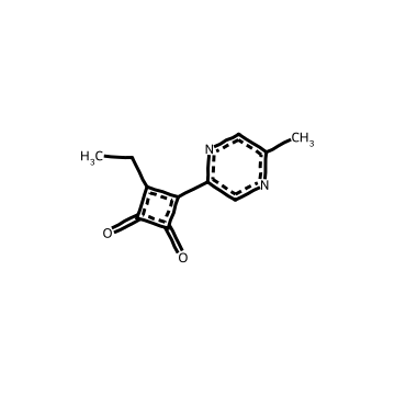 CCc1c(-c2cnc(C)cn2)c(=O)c1=O